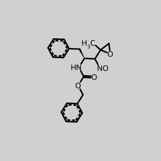 CC1(C(N=O)[C@H](Cc2ccccc2)NC(=O)OCc2ccccc2)CO1